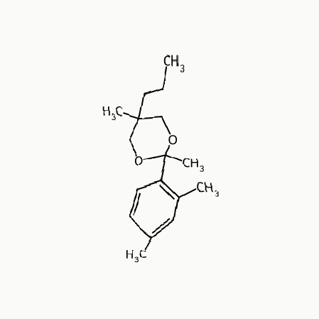 CCCC1(C)COC(C)(c2ccc(C)cc2C)OC1